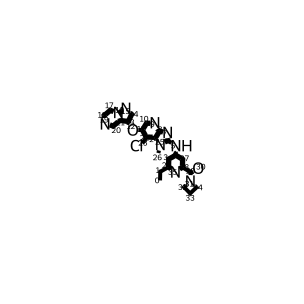 CCc1cc(Nc2nc3ncc(Oc4cnn5ccncc45)c(Cl)c3n2C)cc(C(=O)N2CCC2)n1